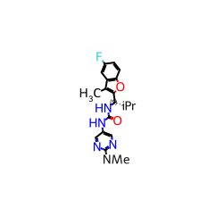 CNc1ncc(NC(=O)N[C@H](c2oc3ccc(F)cc3c2C)C(C)C)cn1